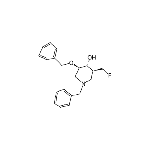 O[C@@H]1[C@@H](CF)CN(Cc2ccccc2)C[C@H]1OCc1ccccc1